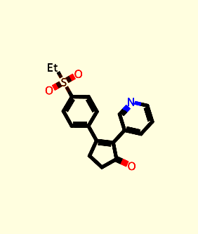 CCS(=O)(=O)c1ccc(C2=C(c3cccnc3)C(=O)CC2)cc1